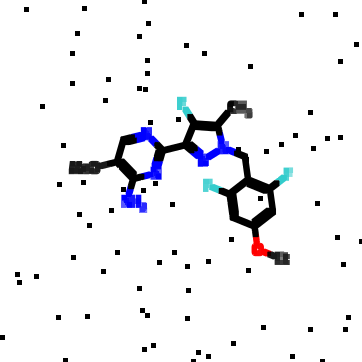 CCOc1cc(F)c(Cn2nc(-c3ncc(OC)c(N)n3)c(F)c2C)c(F)c1